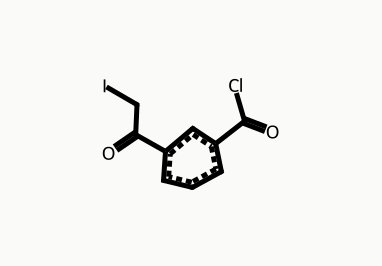 O=C(Cl)c1cccc(C(=O)CI)c1